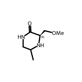 COC[C@H]1NC(C)CNC1=O